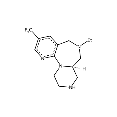 CCN1Cc2cc(C(F)(F)F)cnc2N2CCNC[C@@H]2C1